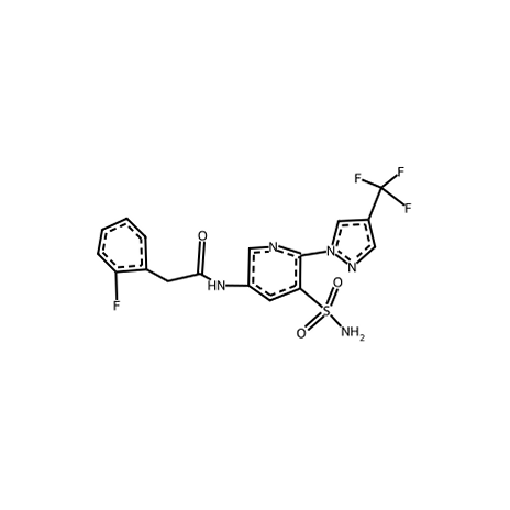 NS(=O)(=O)c1cc(NC(=O)Cc2ccccc2F)cnc1-n1cc(C(F)(F)F)cn1